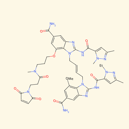 CCn1nc(C)cc1C(=O)Nc1nc2cc(C(N)=O)cc(OC)c2n1C/C=C/Cn1c(NC(=O)c2cc(C)nn2C)nc2cc(C(N)=O)cc(OCCCN(C)C(=O)CCN3C(=O)C=CC3=O)c21